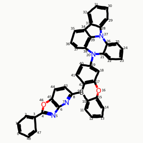 c1ccc(-c2nc3nc(B4c5ccccc5Oc5cc(N6c7ccccc7-n7c8ccccc8c8cccc6c87)ccc54)ccc3o2)cc1